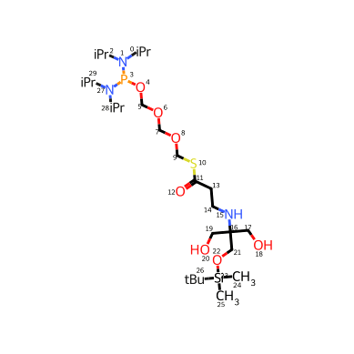 CC(C)N(C(C)C)P(OCOCOCSC(=O)CCNC(CO)(CO)CO[Si](C)(C)C(C)(C)C)N(C(C)C)C(C)C